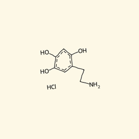 Cl.NCCc1cc(O)c(O)cc1O